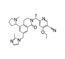 CCOc1cc([C@H](C)N2CCc3c(cc(Cn4ccnc4C)cc3C3CCCN3C)C2=O)ncc1C#N